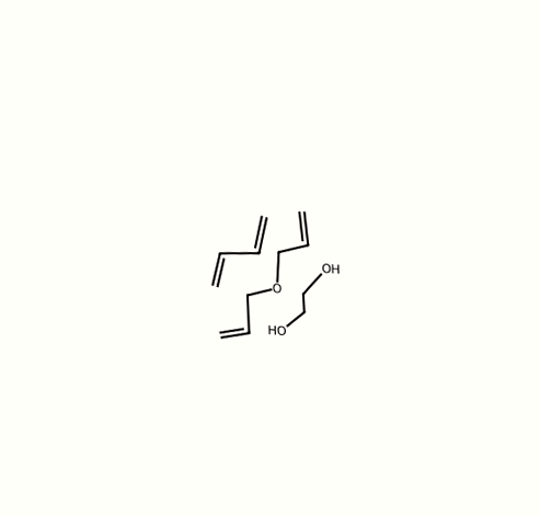 C=CC=C.C=CCOCC=C.OCCO